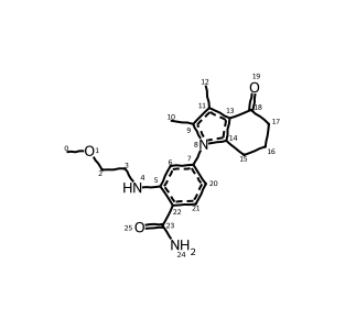 COCCNc1cc(-n2c(C)c(C)c3c2CCCC3=O)ccc1C(N)=O